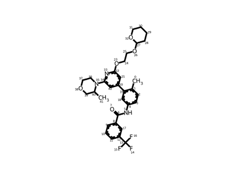 Cc1ccc(NC(=O)c2cccc(C(F)(F)F)c2)cc1-c1cc(OCCOC2CCCCO2)nc(N2CCOCC2C)c1